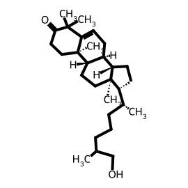 CC(CO)CCC[C@@H](C)[C@H]1CC[C@H]2[C@@H]3CC=C4C(C)(C)C(=O)CC[C@]4(C)[C@H]3CC[C@]12C